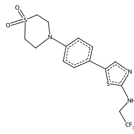 O=S1(=O)CCN(c2ccc(-c3cnc(NCC(F)(F)F)s3)cc2)CC1